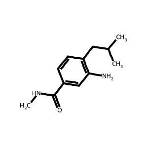 CNC(=O)c1ccc(CC(C)C)c(N)c1